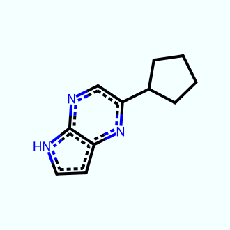 c1cc2nc(C3CCCC3)cnc2[nH]1